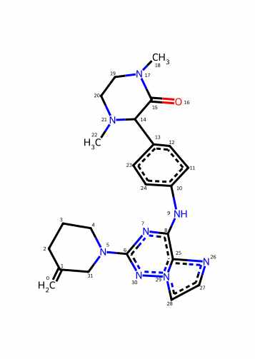 C=C1CCCN(c2nc(Nc3ccc(C4C(=O)N(C)CCN4C)cc3)c3nccn3n2)C1